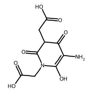 NC1=C(O)N(CC(=O)O)C(=O)C(CC(=O)O)C1=O